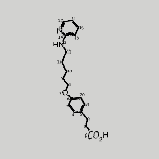 O=C(O)CCc1ccc(OCCCCCNc2ccccn2)cc1